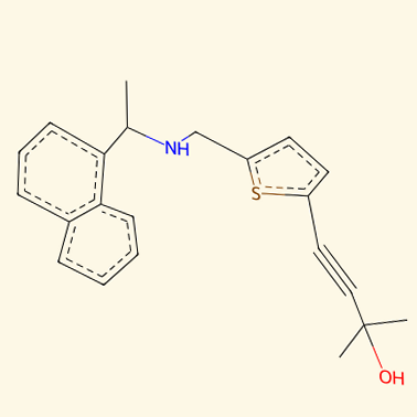 CC(NCc1ccc(C#CC(C)(C)O)s1)c1cccc2ccccc12